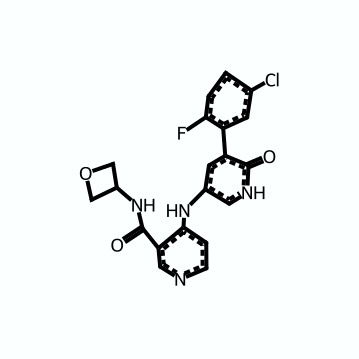 O=C(NC1COC1)c1cnccc1Nc1c[nH]c(=O)c(-c2cc(Cl)ccc2F)c1